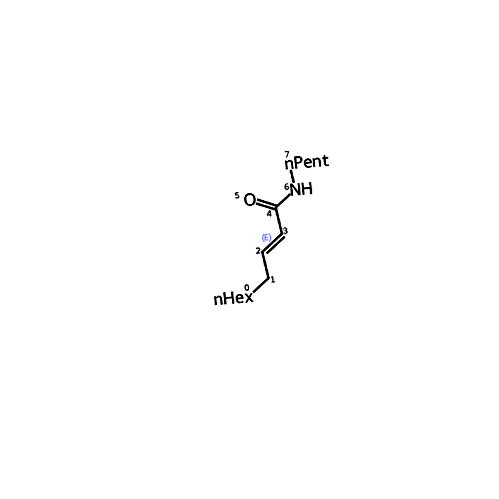 CCCCCCC/C=C/C(=O)NCCCCC